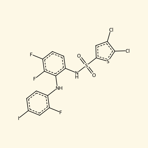 O=S(=O)(Nc1ccc(F)c(F)c1Nc1ccc(I)cc1F)c1cc(Cl)c(Cl)s1